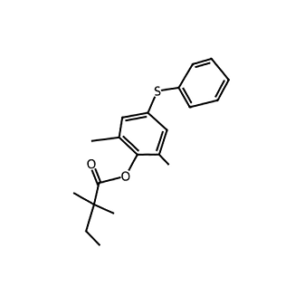 CCC(C)(C)C(=O)Oc1c(C)cc(Sc2ccccc2)cc1C